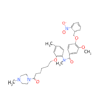 COc1cc(C(=O)N(C)c2ccc(C)cc2OCCCCCC(=O)N2CCN(C)CC2)ccc1OCc1ccccc1[N+](=O)[O-]